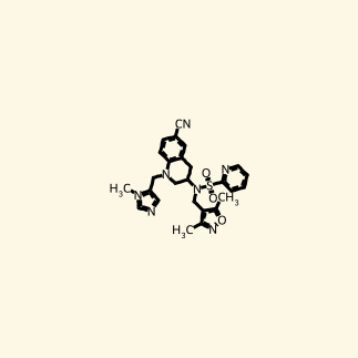 Cc1noc(C)c1CN(C1Cc2cc(C#N)ccc2N(Cc2cncn2C)C1)S(=O)(=O)c1ccccn1